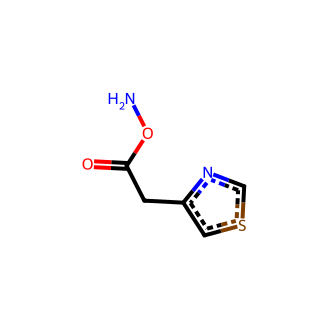 NOC(=O)Cc1cscn1